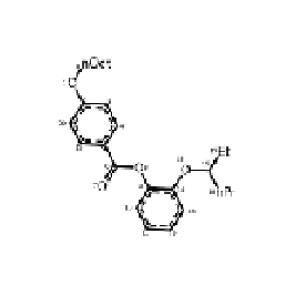 CCCCCCCCOc1ccc(C(=O)Oc2ccccc2OC(CC)CCC)cc1